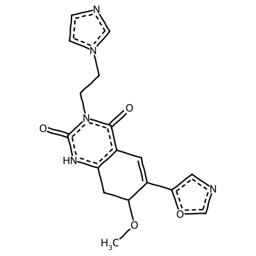 COC1Cc2[nH]c(=O)n(CCn3ccnc3)c(=O)c2C=C1c1cnco1